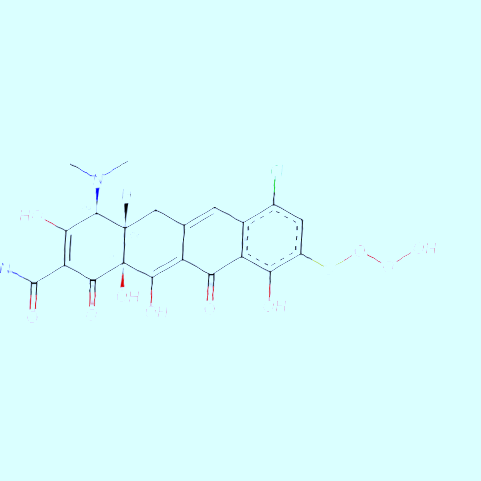 CN(C)[C@@H]1C(O)=C(C(N)=O)C(=O)[C@@]2(O)C(O)=C3C(=O)c4c(O)c(SOOO)cc(Cl)c4C=C3C[C@@H]12